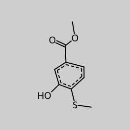 COC(=O)c1ccc(SC)c(O)c1